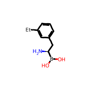 CCc1cccc(C[C@H](N)B(O)O)c1